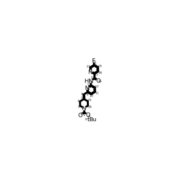 CC(C)(C)OC(=O)N1CCC(=Cc2cccc(NC(=O)c3ccc(F)cn3)n2)CC1